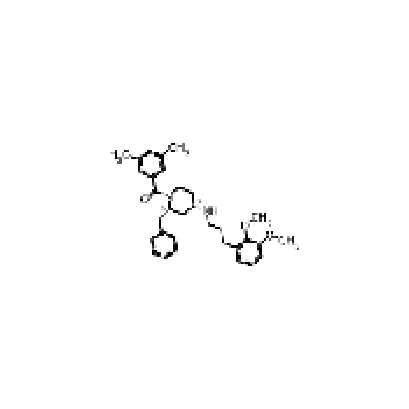 COc1cccc(CCCN[C@H]2CCN(C(=O)c3cc(C)cc(C)c3)[C@@H](Cc3ccccc3)C2)c1OC